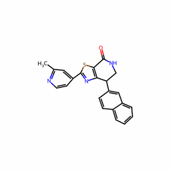 Cc1cc(-c2nc3c(s2)C(=O)NCC3c2ccc3ccccc3c2)ccn1